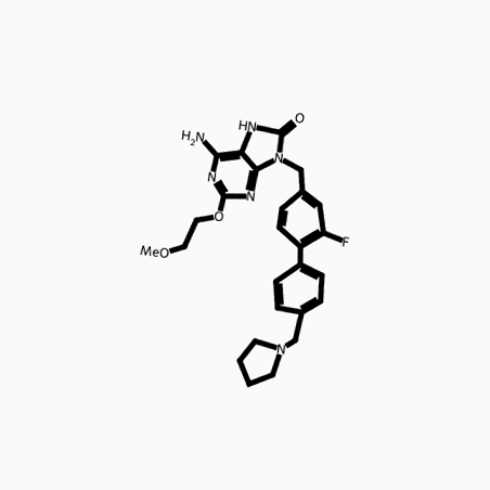 COCCOc1nc(N)c2[nH]c(=O)n(Cc3ccc(-c4ccc(CN5CCCC5)cc4)c(F)c3)c2n1